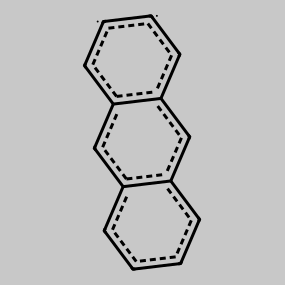 [c]1[c]cc2cc3ccccc3cc2c1